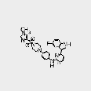 Cn1cnc(S(=O)(=O)N2CCN(c3ccc(Nc4nccc(-c5c[nH]c6ccc(F)cc56)n4)cc3)CC2)c1